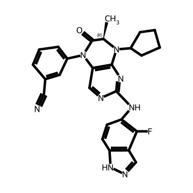 C[C@@H]1C(=O)N(c2cccc(C#N)c2)c2cnc(Nc3ccc4[nH]ncc4c3F)nc2N1C1CCCC1